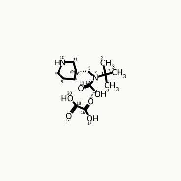 CC(C)(C)N(C[C@@H]1CCCNC1)C(=O)O.O=C(O)C(=O)O